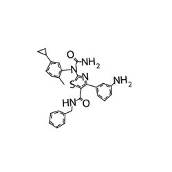 Cc1ccc(C2CC2)cc1N(C(N)=O)c1nc(-c2cccc(N)c2)c(C(=O)NCc2ccccc2)s1